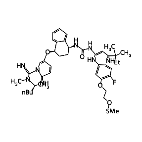 CCCC[C@H](C)N(C)C(=N)n1cc(O[C@@H]2CC[C@H](NC(=O)N/C(=C/C(=N)C(C)(C)CC)Nc3ccc(F)c(OCCOSC)c3)c3ccccc32)ccc1=N